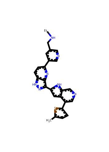 CCNCc1cncc(-c2ccc3[nH]nc(-c4cc5c(-c6ccc(C)s6)cncc5[nH]4)c3n2)c1